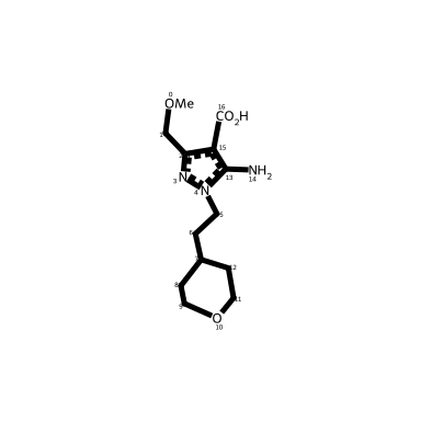 COCc1nn(CCC2CCOCC2)c(N)c1C(=O)O